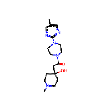 Cc1cnc(N2CCN(C(=O)CC3(O)CCN(C)CC3)CC2)nc1